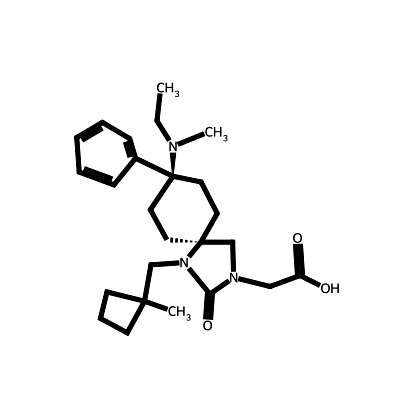 CCN(C)[C@]1(c2ccccc2)CC[C@]2(CC1)CN(CC(=O)O)C(=O)N2CC1(C)CCC1